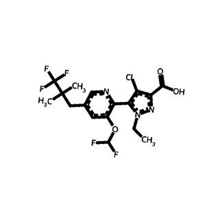 CCn1nc(C(=O)O)c(Cl)c1-c1ncc(CC(C)(C)C(F)(F)F)cc1OC(F)F